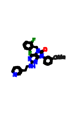 COc1cccc(-n2c(=O)n(Cc3c(F)cccc3F)c3cnc(NCCc4cccnc4)nc32)c1